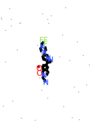 COc1cc(-c2cnn3cc(N4CCN(CC(F)(F)F)CC4)ccc23)cc2c1C(=O)N(CC#N)CC2